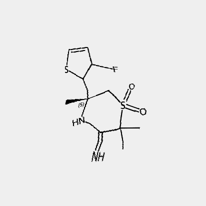 CC1(C)C(=N)N[C@](C)(C2SC=CC2F)CS1(=O)=O